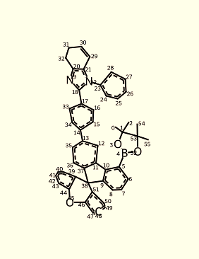 CC1(C)OB(c2cccc3c2-c2cc(-c4ccc(-c5nc6c(n5-c5ccccc5)C=CCC6)cc4)ccc2C32c3ccccc3Oc3ccccc32)OC1(C)C